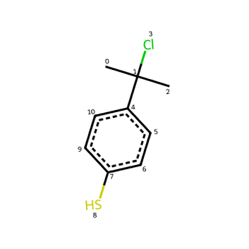 CC(C)(Cl)c1ccc(S)cc1